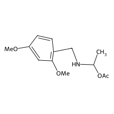 COc1ccc(CNC(C)OC(C)=O)c(OC)c1